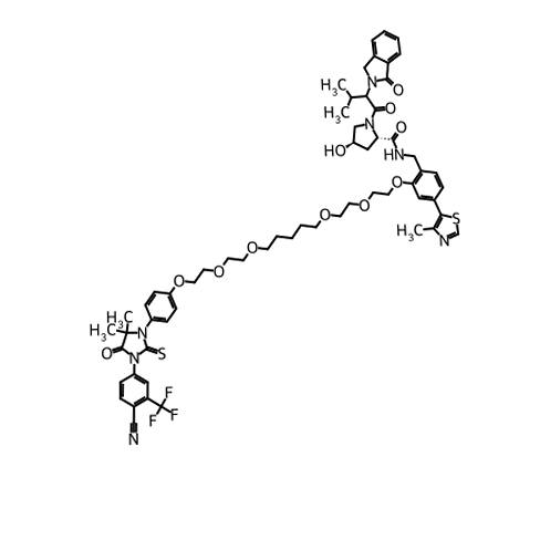 Cc1ncsc1-c1ccc(CNC(=O)[C@@H]2C[C@@H](O)CN2C(=O)C(C(C)C)N2Cc3ccccc3C2=O)c(OCCOCCOCCCCCOCCOCCOc2ccc(N3C(=S)N(c4ccc(C#N)c(C(F)(F)F)c4)C(=O)C3(C)C)cc2)c1